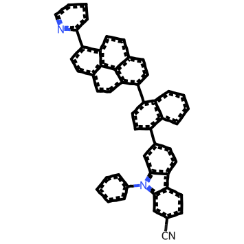 N#Cc1ccc2c3ccc(-c4ccc(-c5ccc6ccc7c(-c8ccccn8)ccc8ccc5c6c87)c5ccccc45)cc3n(-c3ccccc3)c2c1